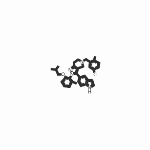 Cc1ccc(Cl)cc1CN1CCc2nn(-c3c(C)cccc3OCC(C)C)c(-c3ccc4[nH]ccc4c3)c2C1